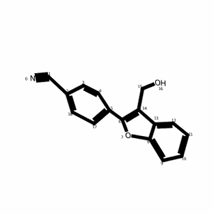 N#Cc1ccc(-c2oc3ccccc3c2CO)cc1